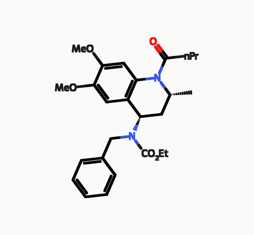 CCCC(=O)N1c2cc(OC)c(OC)cc2[C@@H](N(Cc2ccccc2)C(=O)OCC)C[C@H]1C